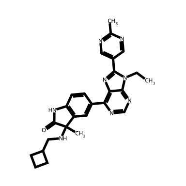 CCn1c(-c2cnc(C)nc2)nc2c(-c3ccc4c(c3)C(C)(NCC3CCC3)C(=O)N4)ncnc21